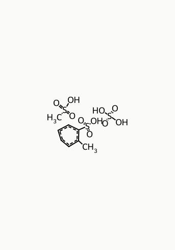 CS(=O)(=O)O.Cc1ccccc1S(=O)(=O)O.O=S(=O)(O)O